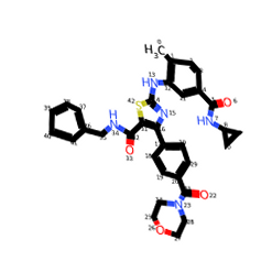 Cc1ccc(C(=O)NC2CC2)cc1Nc1nc(-c2ccc(C(=O)N3CCOCC3)cc2)c(C(=O)NCc2ccccc2)s1